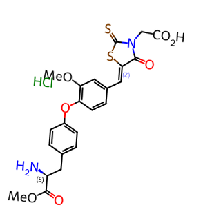 COC(=O)[C@@H](N)Cc1ccc(Oc2ccc(/C=C3\SC(=S)N(CC(=O)O)C3=O)cc2OC)cc1.Cl